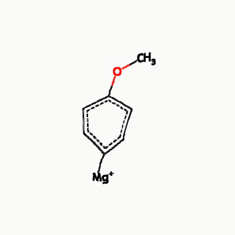 COc1cc[c]([Mg+])cc1